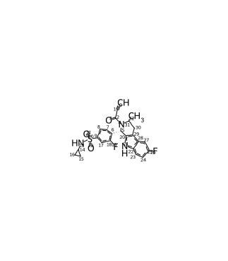 C#CC(=O)N1[C@@H](c2ccc(S(=O)(=O)NC3CC3)cc2F)c2[nH]c3ccc(F)cc3c2C[C@@H]1C